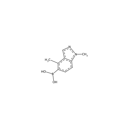 Cc1c(B(O)O)ccc2c1cnn2C